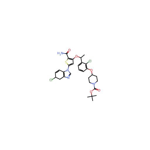 CC(Oc1cc(-n2cnc3c2C=CC(Cl)C3)sc1C(N)=O)c1cccc(OC2CCN(C(=O)OC(C)(C)C)CC2)c1Cl